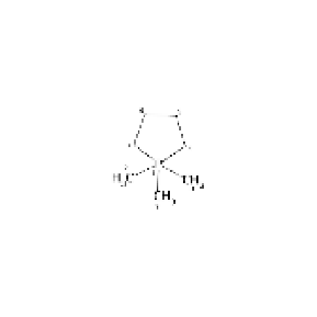 CP1(C)(C)CCCC1